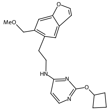 COCc1cc2occc2cc1CCNc1ccnc(OC2CCC2)n1